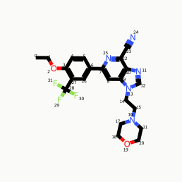 CCOc1ccc(-c2cc3c(ncn3CCN3CCOCC3)c(C#N)n2)cc1C(F)(F)F